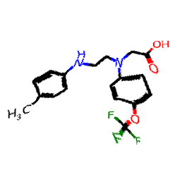 Cc1ccc(NCCN(CC(=O)O)c2ccc(OC(F)(F)F)cc2)cc1